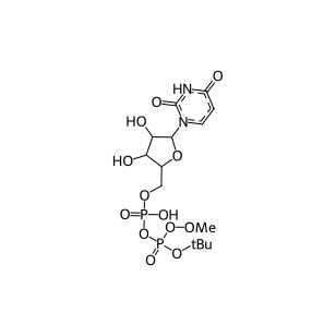 COOP(=O)(OC(C)(C)C)OP(=O)(O)OCC1OC(n2ccc(=O)[nH]c2=O)C(O)C1O